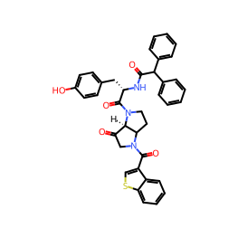 O=C(N[C@@H](Cc1ccc(O)cc1)C(=O)N1CCC2[C@H]1C(=O)CN2C(=O)c1csc2ccccc12)C(c1ccccc1)c1ccccc1